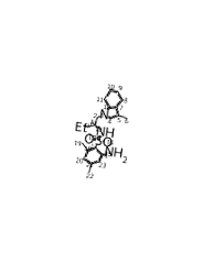 CC[C@@H](Cn1cc(C)c2ccccc21)NS(=O)(=O)c1c(C)cc(C)cc1N